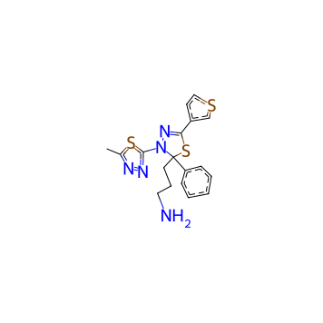 Cc1nnc(N2N=C(c3ccsc3)SC2(CCCN)c2ccccc2)s1